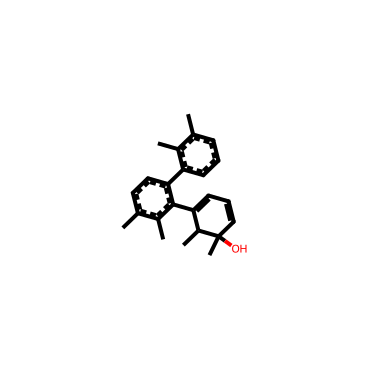 Cc1cccc(-c2ccc(C)c(C)c2C2=CC=CC(C)(O)C2C)c1C